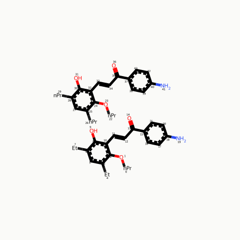 CCCOc1c(CC)cc(CC)c(O)c1C=CC(=O)c1ccc(N)cc1.CCCOc1c(CCC)cc(CCC)c(O)c1C=CC(=O)c1ccc(N)cc1